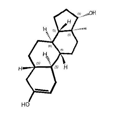 C[C@]12CC[C@H]3[C@@H](CC[C@H]4CC(O)=CC[C@@H]43)[C@@H]1CC[C@@H]2O